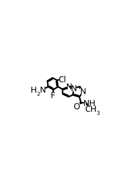 CNC(=O)c1ncn2nc(-c3c(Cl)ccc(N)c3F)ccc12